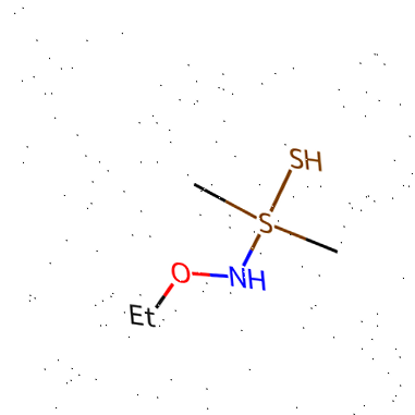 CCONS(C)(C)S